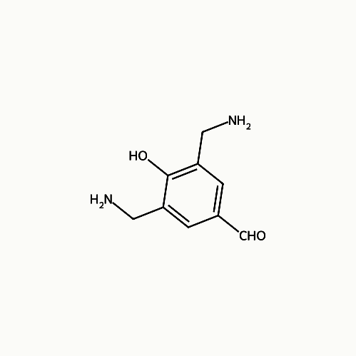 NCc1cc(C=O)cc(CN)c1O